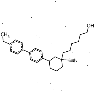 CCc1ccc(-c2ccc(C3CCCC(C#N)(CCCCCCO)C3)cc2)cc1